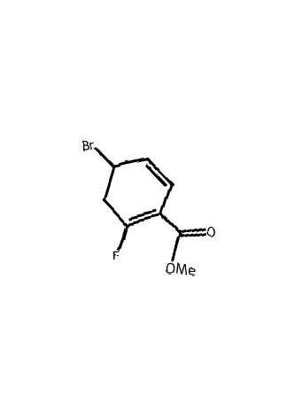 COC(=O)C1=C(F)CC(Br)C=C1